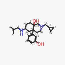 CC(C)CN[C@H]1CCC2(O)CN(CC3CC3)CCC2(c2cccc(O)c2)C1